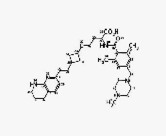 Cc1cc(CN2CCN(C)CC2)cc(C)c1C(=O)NC(CCOC1CC(CCc2ccc3c(n2)NCCC3)C1)C(=O)O